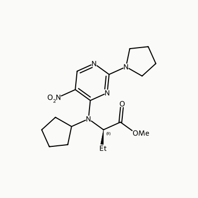 CC[C@H](C(=O)OC)N(c1nc(N2CCCC2)ncc1[N+](=O)[O-])C1CCCC1